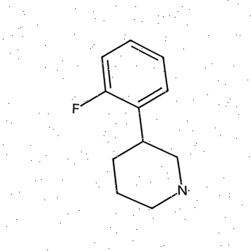 Fc1ccccc1C1CCC[N]C1